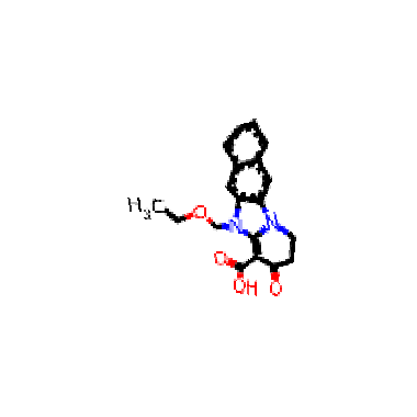 CCOCN1C2=C(C(=O)O)C(=O)CCN2c2cc3ccccc3cc21